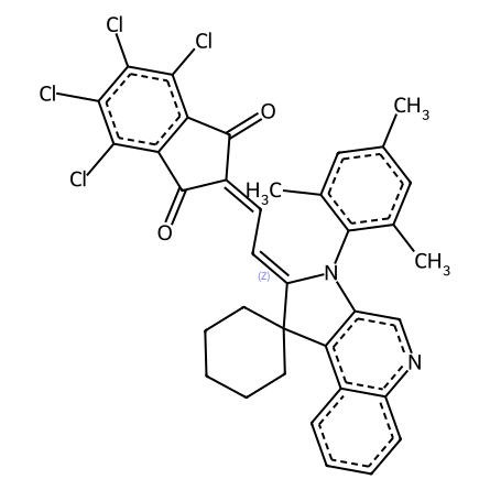 Cc1cc(C)c(N2/C(=C\C=C3C(=O)c4c(Cl)c(Cl)c(Cl)c(Cl)c4C3=O)C3(CCCCC3)c3c2cnc2ccccc32)c(C)c1